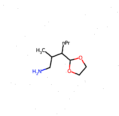 CCCC(C(C)CN)C1OCCO1